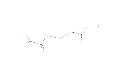 C=C(C)C(=O)NCCC(O)S(=O)(=O)O